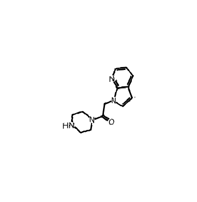 O=C(Cn1c[c]c2cccnc21)N1CCNCC1